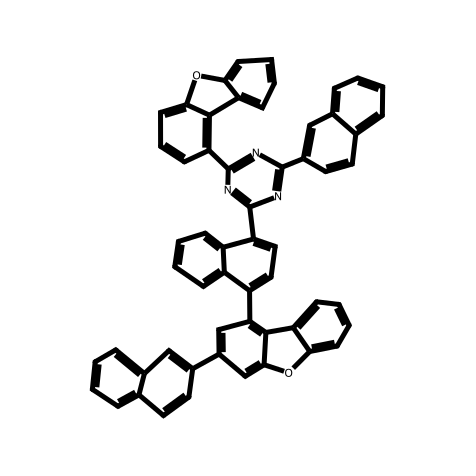 c1ccc2cc(-c3cc(-c4ccc(-c5nc(-c6ccc7ccccc7c6)nc(-c6cccc7oc8ccccc8c67)n5)c5ccccc45)c4c(c3)oc3ccccc34)ccc2c1